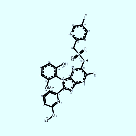 CCOC1=NC(c2nc3nc(Cl)c(NS(=O)(=O)Cc4ccc(F)cn4)nc3n2-c2c(O)cccc2OC)=C=C=C1